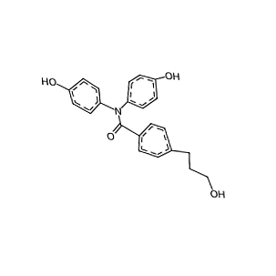 O=C(c1ccc(CCCO)cc1)N(c1ccc(O)cc1)c1ccc(O)cc1